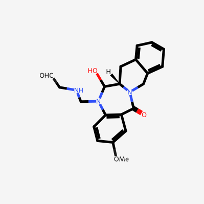 COc1ccc2c(c1)C(=O)N1Cc3ccccc3C[C@H]1C(O)N2CNCC=O